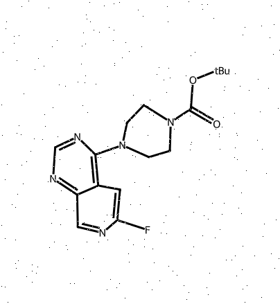 CC(C)(C)OC(=O)N1CCN(c2ncnc3cnc(F)cc23)CC1